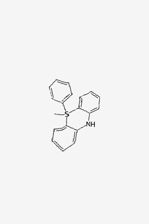 CS1(c2ccccc2)c2ccccc2Nc2ccccc21